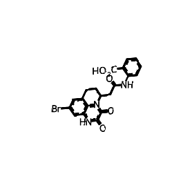 O=C(CC1CCc2cc(Br)cc3[nH]c(=O)c(=O)n1c23)Nc1ccccc1C(=O)O